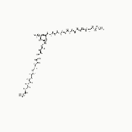 [CH2]c1cc(CCCCCCCCCCCCCCCCCCCCCC)nc(CCCCCCCCCCCCCCCCCCCCCC)c1